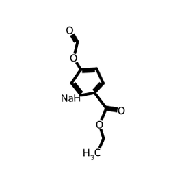 CCOC(=O)c1ccc(OC=O)cc1.[NaH]